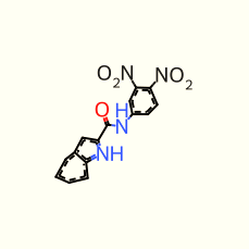 O=C(Nc1ccc([N+](=O)[O-])c([N+](=O)[O-])c1)c1cc2ccccc2[nH]1